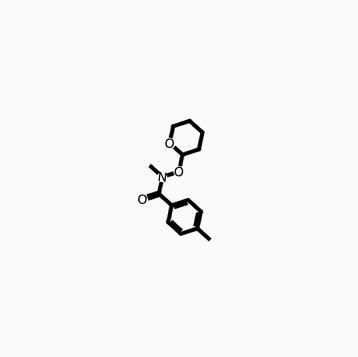 Cc1ccc(C(=O)N(C)OC2CCCCO2)cc1